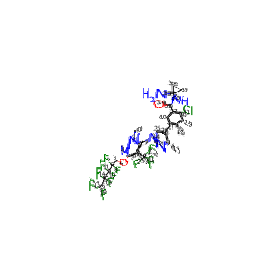 Cn1nc(OCC(F)(F)C(F)(F)C(F)(F)C(F)F)c(C(F)(F)F)c1-n1cc(-c2ccc(Cl)c(C(=O)NC3(N)CC3)c2)cn1